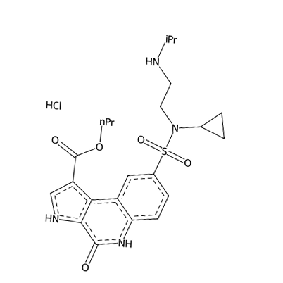 CCCOC(=O)c1c[nH]c2c(=O)[nH]c3ccc(S(=O)(=O)N(CCNC(C)C)C4CC4)cc3c12.Cl